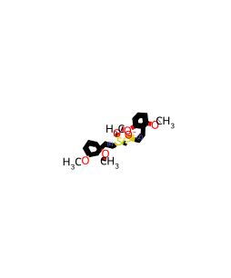 COC1=CC=CC(/C=C/[S+]([O-])C[S+]([O-])/C=C\c2c(OC)cccc2OC)(OC)C1